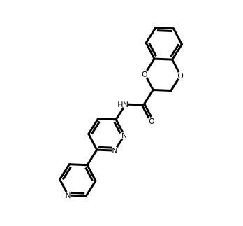 O=C(Nc1ccc(-c2ccncc2)nn1)C1COc2ccccc2O1